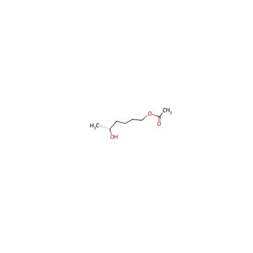 CC(=O)OCCCC[C@@H](C)O